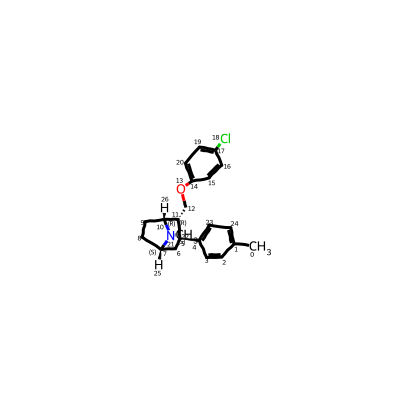 Cc1ccc([C@H]2C[C@@H]3CC[C@H]([C@@H]2COc2ccc(Cl)cc2)N3C)cc1